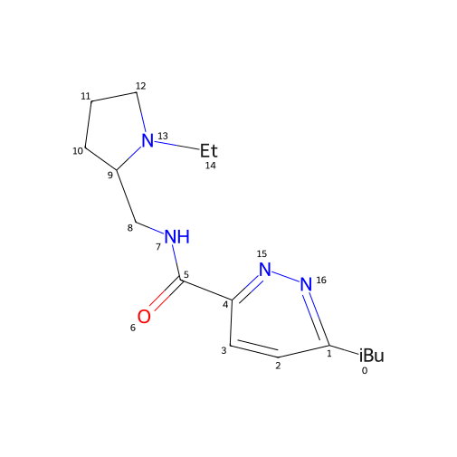 CCC(C)c1ccc(C(=O)NCC2CCCN2CC)nn1